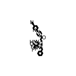 N#Cc1ccc(N2CCN(C(=O)CCOC[C@@H](Cc3ccccc3)Nc3cn[nH]c(=O)c3C(F)(F)F)CC2)nc1